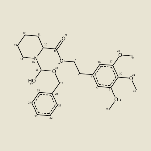 COc1cc(CCOC(=O)C2CCCCN2C(O)OCc2ccccc2)cc(OC)c1OC